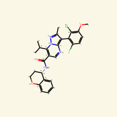 COc1ccc(F)c(-c2c(C)nn3c(C(C)C)c(C(=O)N[C@H]4CCOc5ccccc54)cnc23)c1Cl